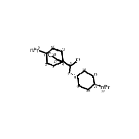 CCCC12CCC(C(F)C[C@H]3CC[C@H](CCC)CC3)(CC1)CC2